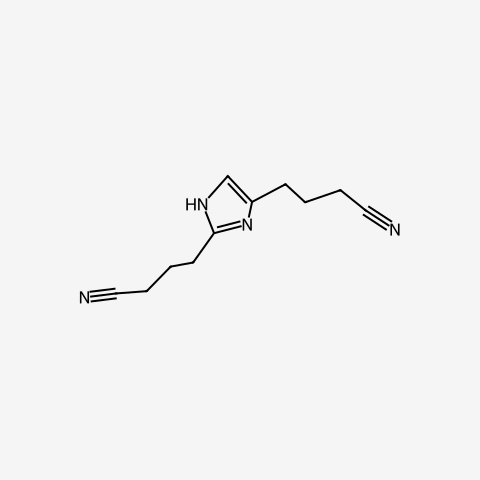 N#CCCCc1c[nH]c(CCCC#N)n1